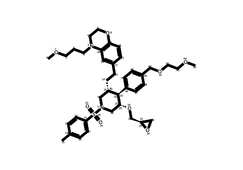 COCCCN1CCOc2ccc(CC[C@H]3CN(S(=O)(=O)c4ccc(C)cc4)C[C@@H](OC[C@H]4CO4)[C@@H]3c3ccc(COCCOC)cc3)cc21